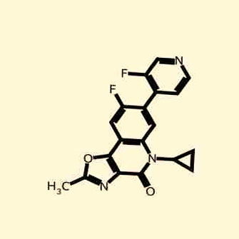 Cc1nc2c(=O)n(C3CC3)c3cc(-c4ccncc4F)c(F)cc3c2o1